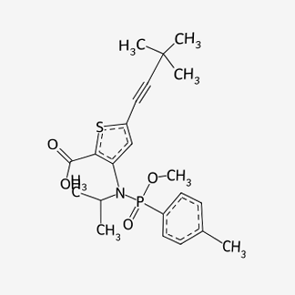 COP(=O)(c1ccc(C)cc1)N(c1cc(C#CC(C)(C)C)sc1C(=O)O)C(C)C